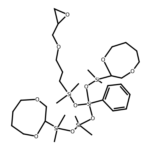 C[Si](C)(CCCOCC1CO1)O[Si](O[Si](C)(C)O[Si](C)(C)C1COCCCCO1)(O[Si](C)(C)C1COCCCCO1)c1ccccc1